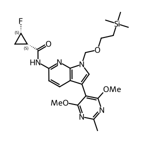 COc1nc(C)nc(OC)c1-c1cn(COCC[Si](C)(C)C)c2nc(NC(=O)[C@@H]3C[C@@H]3F)ccc12